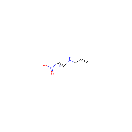 C=CCN/[C]=C/[N+](=O)[O-]